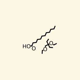 CCCCCCCCCCCC(=O)O.CCOCC(CC)(CC)OCC